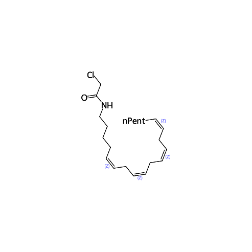 CCCCC/C=C\C/C=C\C/C=C\C/C=C\CCCCNC(=O)CCl